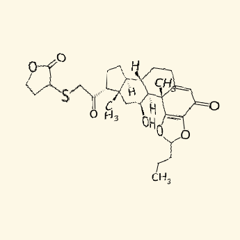 CCCC1OC2=C(O1)[C@@]1(C)C(=CC2=O)CC[C@@H]2[C@@H]1[C@@H](O)C[C@]1(C)[C@H](C(=O)CSC3CCOC3=O)CC[C@@H]21